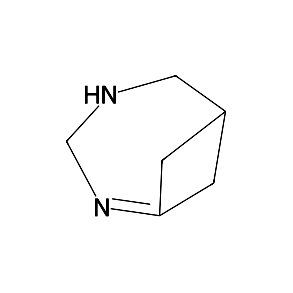 C1N=C2CC(CN1)C2